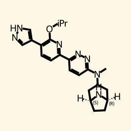 CC(C)Oc1nc(-c2ccc(N(C)C3C[C@H]4CC[C@@H](C3)N4)nn2)ccc1-c1cn[nH]c1